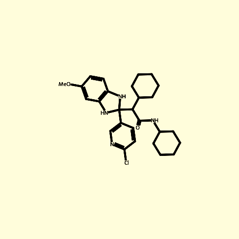 COc1ccc2c(c1)NC(c1ccc(Cl)nc1)(C(C(=O)NC1CCCCC1)C1CCCCC1)N2